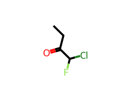 CCC(=O)C(F)Cl